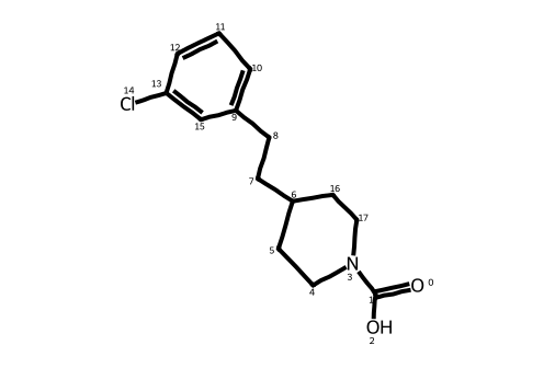 O=C(O)N1CCC(CCc2cccc(Cl)c2)CC1